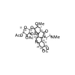 CNCCn1c(=O)c2cc(OC)c(O[C@@H]3O[C@@H](C)[C@@H](OC(C)=O)[C@@H](OC(C)=O)[C@@H]3OC(C)=O)cc2c2cnc3cc4c(cc3c21)OCO4